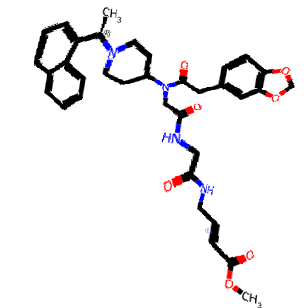 COC(=O)/C=C/CNC(=O)CNC(=O)CN(C(=O)Cc1ccc2c(c1)OCO2)C1CCN([C@H](C)c2cccc3ccccc23)CC1